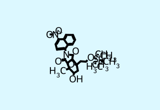 CC12OC(CCO[Si](C)(C)C(C)(C)C)(CC1O)C1C(=O)N(c3ccc([N+](=O)[O-])c4ccccc34)C(=O)C12